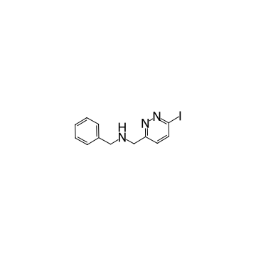 Ic1ccc(CNCc2ccccc2)nn1